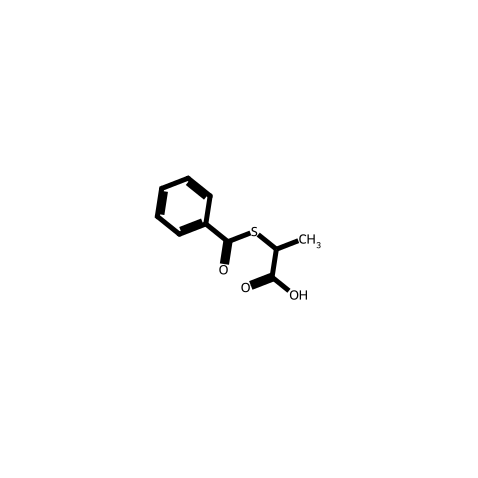 CC(SC(=O)c1ccccc1)C(=O)O